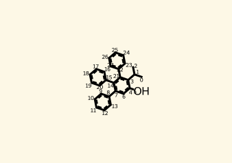 CC(C)c1c(O)cc(-c2ccccc2)c(-c2ccccc2)c1-c1ccccc1